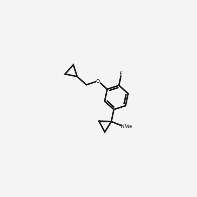 CNC1(c2ccc(F)c(OCC3CC3)c2)CC1